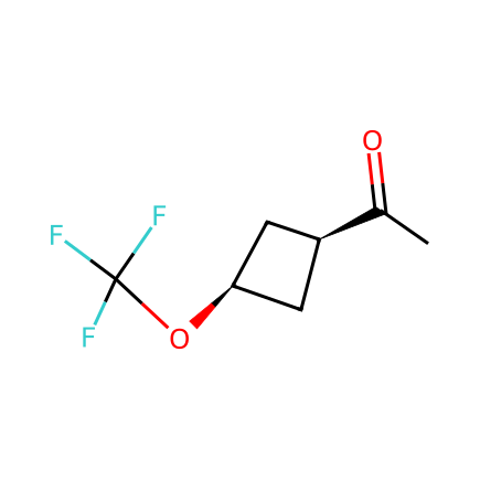 CC(=O)[C@H]1C[C@@H](OC(F)(F)F)C1